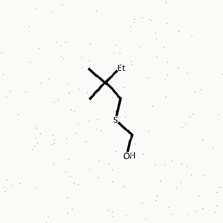 CCC(C)(C)CSCO